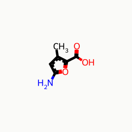 Cc1cc(N)oc1C(=O)O